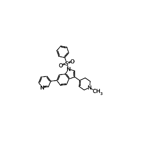 CN1CC=C(c2cn(S(=O)(=O)c3ccccc3)c3cc(-c4cccnc4)ccc23)CC1